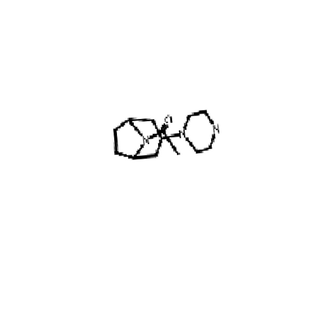 CC(=O)N1C2CCC1CC(N1CC[N]CC1)C2